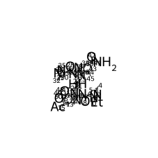 CCn1nc(C)cc1C(=O)Nc1nc2cc(C(C)=O)c3c(c2n1C/C=C/Cn1c(NC(=O)c2cc(C)nn2C)nc2cc(C(N)=O)cc(C)c21)OCCO3